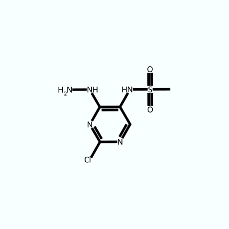 CS(=O)(=O)Nc1cnc(Cl)nc1NN